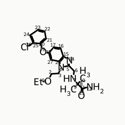 CCOCCn1c(CNC(C)(C)C(N)=O)nc2ccc(Oc3ccccc3Cl)cc21